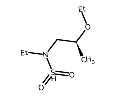 CCO[C@@H](C)CN(CC)[SH](=O)=O